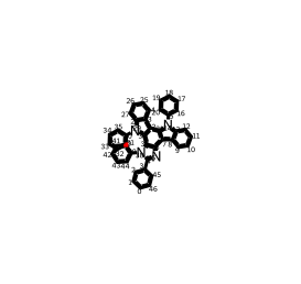 c1ccc(-c2nc3c4c5ccccc5n(-c5ccccc5)c4c4c5ccccc5n(-c5ccccc5)c4c3n2-c2ccccc2)cc1